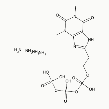 Cn1c(=O)c2[nH]c(CCOP(=O)(O)OP(=O)(O)OP(=O)(O)O)nc2n(C)c1=O.N.N.N.N